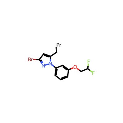 CC(C)Cc1cc(Br)nn1-c1cccc(OCC(F)F)c1